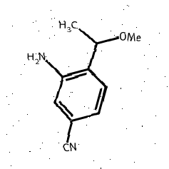 COC(C)c1ccc(C#N)cc1N